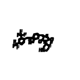 O=C1SC(=Cc2ccc3c(cnn3Cc3ccc(C(F)(F)F)cc3C(F)(F)F)c2)C(=O)N1[C@@H]1CNCC[C@@H]1F